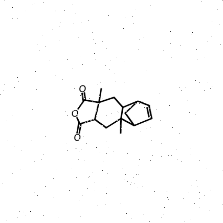 CC12CC3C4C=CC(C4)C3(C)CC1C(=O)OC2=O